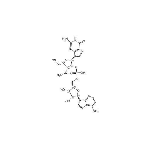 CO[C@H]1[C@@H](OP(=O)(O)OC[C@H]2O[C@@H](n3cnc4c(N)ncnc43)[C@H](O)[C@@H]2O)[C@H](n2cnc3c(=O)[nH]c(N)nc32)O[C@@H]1CO